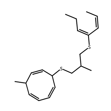 C/C=C\C(=CCC)SCC(C)CSC1C=C/C=C\C(C)/C=C\1